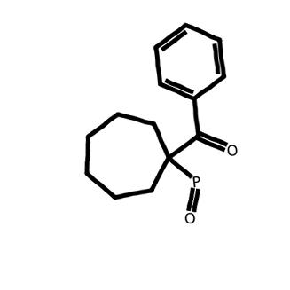 O=PC1(C(=O)c2ccccc2)CCCCCC1